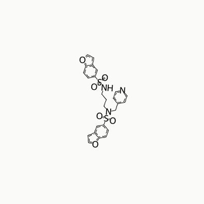 O=S(=O)(NCCCN(Cc1ccncc1)S(=O)(=O)c1ccc2occc2c1)c1ccc2occc2c1